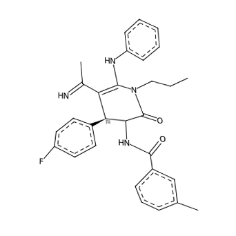 CCCN1C(=O)C(NC(=O)c2cccc(C)c2)[C@@H](c2ccc(F)cc2)C(C(C)=N)=C1Nc1ccccc1